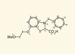 COCCOc1cccc2c1CC(C(=O)O)N2Cc1ccccc1